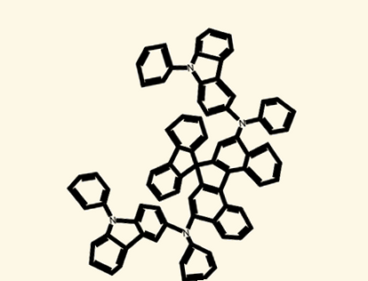 c1ccc(N(c2ccc3c(c2)c2ccccc2n3-c2ccccc2)c2cc3c(c4ccccc24)-c2c(cc(N(c4ccccc4)c4ccc5c(c4)c4ccccc4n5-c4ccccc4)c4ccccc24)C32c3ccccc3-c3ccccc32)cc1